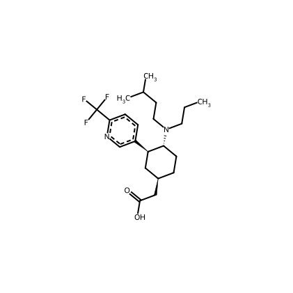 CCCN(CCC(C)C)[C@@H]1CC[C@@H](CC(=O)O)C[C@H]1c1ccc(C(F)(F)F)nc1